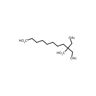 CC(=O)OCC(CCCCCCCC(=O)O)(COC(C)=O)C(=O)O